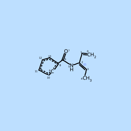 C=C/C(=C/C)NC(=O)c1ccccc1